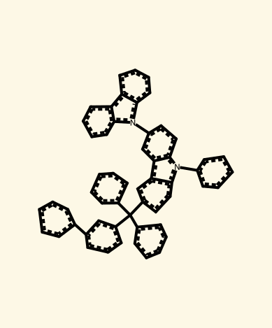 c1ccc(-c2cccc(C(c3ccccc3)(c3ccccc3)c3ccc4c(c3)c3cc(-n5c6ccccc6c6ccccc65)ccc3n4-c3ccccc3)c2)cc1